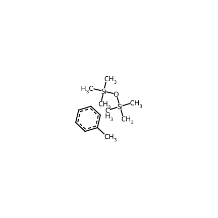 C[Si](C)(C)O[Si](C)(C)C.Cc1ccccc1